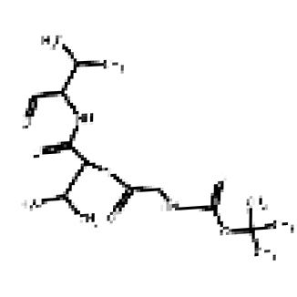 CC(C)C(C=O)NC(=O)C(NC(=O)CNC(=O)OC(C)(C)C)C(C)C